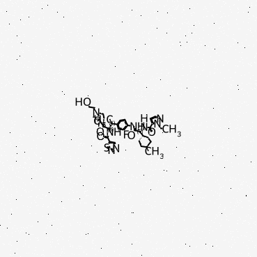 CCn1nccc1C(=O)N[C@H](C(=O)Nc1ccc([C@H](C)[C@@H](NC(=O)c2cnns2)C(=O)N2CCN(CCO)CC2)cc1F)[C@H]1CC[C@H](C)CC1